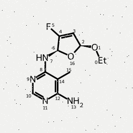 CCO[C@@H]1C=C(F)[C@H](Nc2ncnc(N)c2C)O1